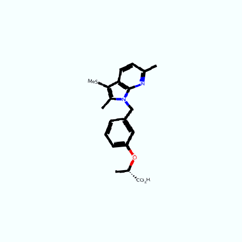 CSc1c(C)n(Cc2cccc(O[C@@H](C)C(=O)O)c2)c2nc(C)ccc12